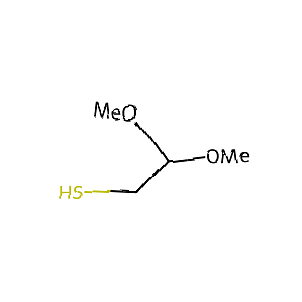 COC(CS)OC